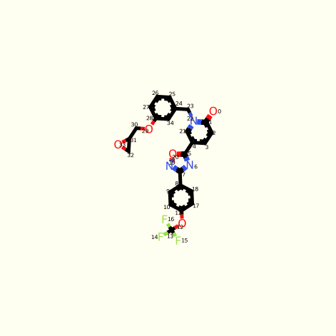 O=c1ccc(-c2nc(-c3ccc(OC(F)(F)F)cc3)no2)cn1Cc1cccc(OCC2CO2)c1